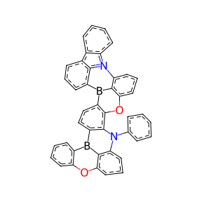 c1ccc(N2c3cccc4c3B(c3ccccc3O4)c3ccc4c(c32)Oc2cccc3c2B4c2cccc4c5ccccc5n-3c24)cc1